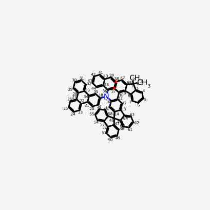 CC1(C)c2ccccc2-c2c(-c3cc4c(cc3N(c3ccc5c6ccccc6c6ccccc6c5c3)c3cccc5ccccc35)C3(c5ccccc5-c5ccccc53)c3ccccc3-4)cccc21